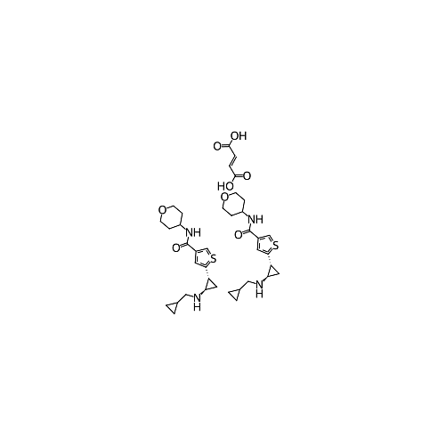 O=C(NC1CCOCC1)c1csc([C@@H]2C[C@H]2NCC2CC2)c1.O=C(NC1CCOCC1)c1csc([C@@H]2C[C@H]2NCC2CC2)c1.O=C(O)/C=C/C(=O)O